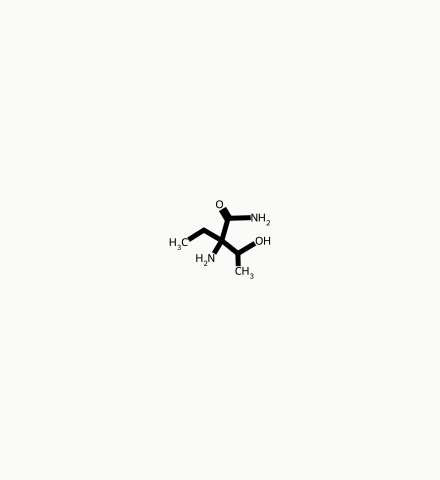 CCC(N)(C(N)=O)C(C)O